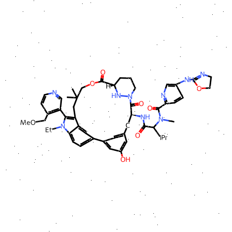 CCn1c(-c2cnccc2COC)c2c3cc(ccc31)-c1cc(O)cc(c1)C[C@H](NC(=O)C(C(C)C)N(C)C(=O)c1ccc(NC3=NCCO3)cn1)C(=O)N1CCC[C@H](N1)C(=O)OCC(C)(C)C2